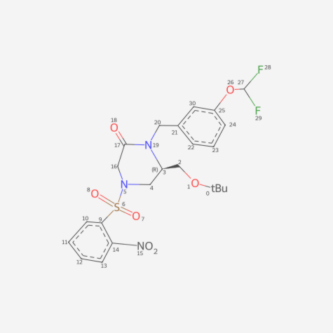 CC(C)(C)OC[C@H]1CN(S(=O)(=O)c2ccccc2[N+](=O)[O-])CC(=O)N1Cc1cccc(OC(F)F)c1